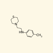 Cc1ccc(NCCN2CCSCC2)cc1